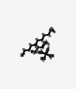 C=CCC.O=P(O)(O)O.[Li][CH2]CCOCCCCC